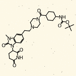 Cn1c(=O)n(C2CCC(=O)NC2=O)c2ccc(CCN3CCN(C(=O)C4CCC(NC(=O)OC(C)(C)C)CC4)CC3)cc21